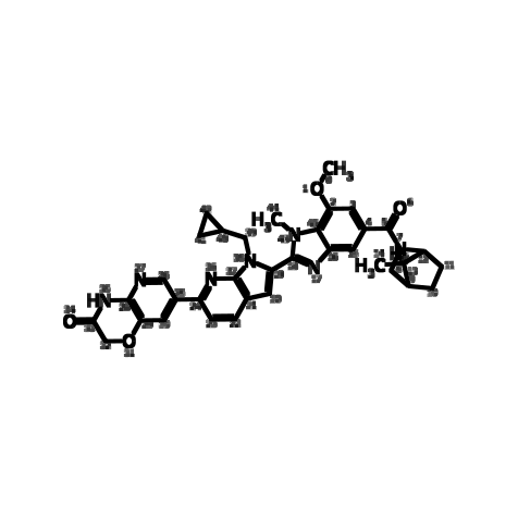 COc1cc(C(=O)N2CC3CCC2[C@@H]3C)cc2nc(-c3cc4ccc(-c5cnc6c(c5)OCC(=O)N6)nc4n3CC3CC3)n(C)c12